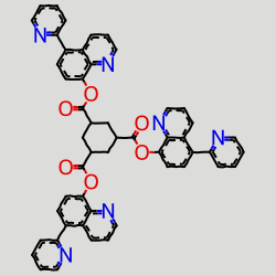 O=C(Oc1ccc(-c2ccccn2)c2cccnc12)C1CC(C(=O)Oc2ccc(-c3ccccn3)c3cccnc23)CC(C(=O)Oc2ccc(-c3ccccn3)c3cccnc23)C1